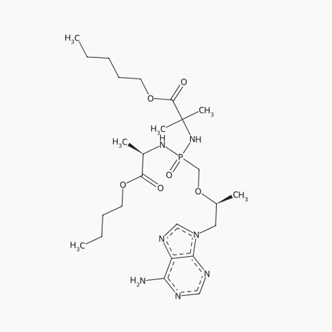 CCCCCOC(=O)C(C)(C)NP(=O)(CO[C@@H](C)Cn1cnc2c(N)ncnc21)N[C@H](C)C(=O)OCCCC